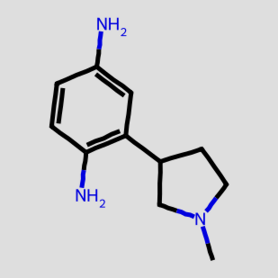 CN1CCC(c2cc(N)ccc2N)C1